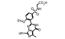 CCCc1nc(C)c2c(=O)[nH]c(-c3cc(S(=O)(=O)NCC(=O)O)ccc3OCC)nn12